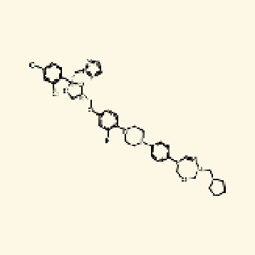 Fc1cc(OC[C@@H]2CO[C@@](Cn3nccn3)(c3ccc(Cl)cc3Cl)O2)ccc1N1CCN(c2ccc(N3C=NN(CC4CCCC4)COC3)cc2)CC1